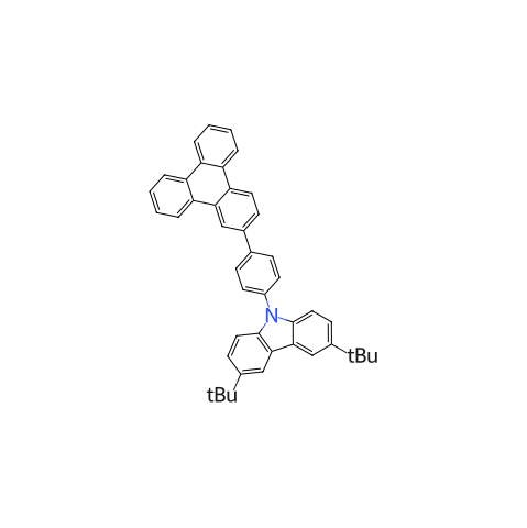 CC(C)(C)c1ccc2c(c1)c1cc(C(C)(C)C)ccc1n2-c1ccc(-c2ccc3c4ccccc4c4ccccc4c3c2)cc1